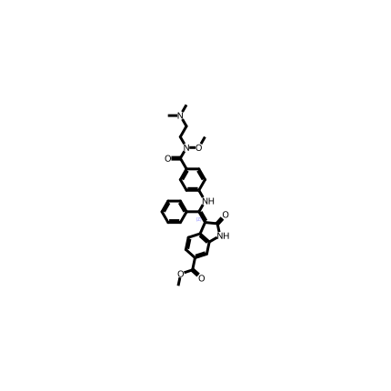 COC(=O)c1ccc2c(c1)NC(=O)/C2=C(\Nc1ccc(C(=O)N(CCN(C)C)OC)cc1)c1ccccc1